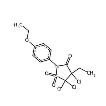 CCOc1ccc(N2C(=O)C(Cl)(CC)C(Cl)(Cl)S2(=O)=O)cc1